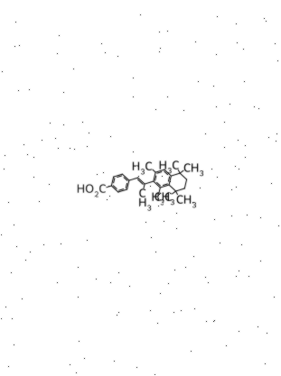 C/C(=C\c1ccc(C(=O)O)cc1)c1c(C)cc2c(c1C)C(C)(C)CCC2(C)C